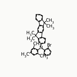 Cc1cc(C)c(N(c2ccc3c(c2)C(C)(C)c2cc4c(cc2-3)C(C)(C)c2ccccc2-4)c2ccccc2Br)c(C)c1